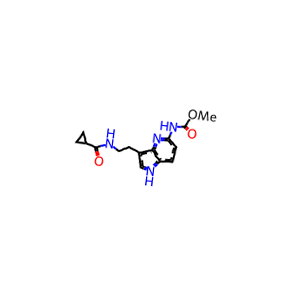 COC(=O)Nc1ccc2[nH]cc(CCNC(=O)C3CC3)c2n1